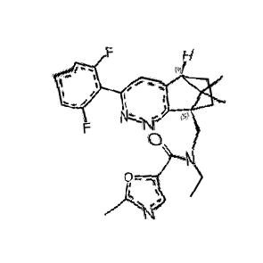 CCN(C[C@@]12CC[C@@H](c3cc(-c4c(F)cccc4F)nnc31)C2(C)C)C(=O)c1cnc(C)o1